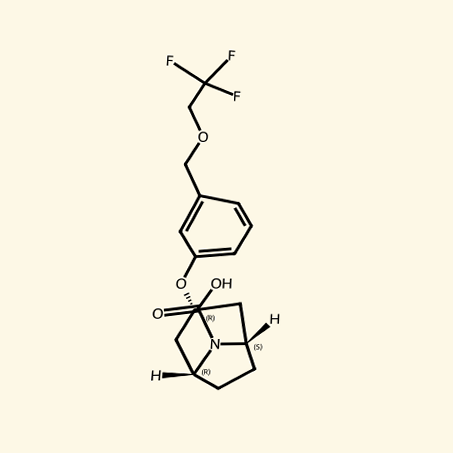 O=C(O)N1[C@@H]2CC[C@H]1C[C@@H](Oc1cccc(COCC(F)(F)F)c1)C2